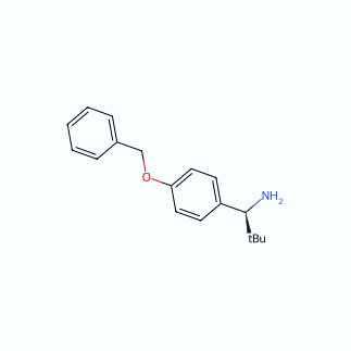 CC(C)(C)[C@H](N)c1ccc(OCc2ccccc2)cc1